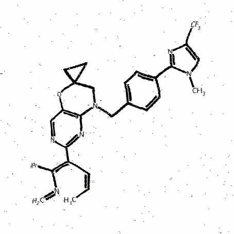 C=N/C(=C(\C=C/C)c1ncc2c(n1)N(Cc1ccc(-c3nc(C(F)(F)F)cn3C)cc1)CC1(CC1)O2)C(C)C